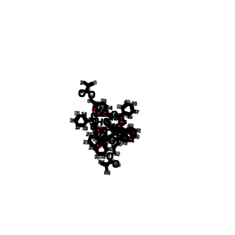 C=C(C)C(=O)OCCC[Si]1(C)O[SiH](c2ccccc2)O[Si]2(c3ccccc3)O[Si]3(c4ccccc4)O[SiH](c4ccccc4)O[Si]4(c5ccccc5)O[Si](c5ccccc5)(O1)O[Si](c1ccccc1)(O2)O[Si](c1ccccc1)(O[Si](C)(CCCOC(=O)C(=C)C)O3)O4